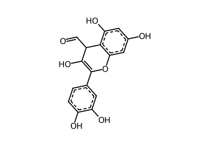 O=CC1C(O)=C(c2ccc(O)c(O)c2)Oc2cc(O)cc(O)c21